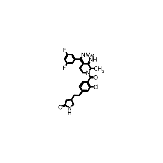 CN/C(=C1/CCN(C(=O)c2ccc(CCC3CNC(=O)C3)cc2Cl)C(C)C1=N)c1cc(F)cc(F)c1